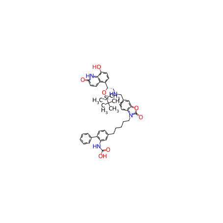 CC(C)(C)[Si](C)(C)O[C@@H](CNCc1ccc2c(c1)oc(=O)n2CCCCCc1ccc(-c2ccccc2)c(NC(=O)O)c1)c1ccc(O)c2[nH]c(=O)ccc12